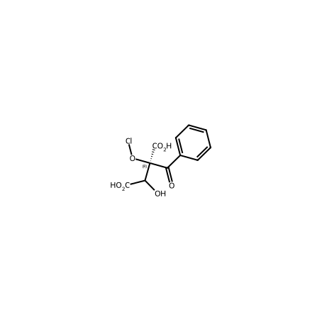 O=C(O)C(O)[C@](OCl)(C(=O)O)C(=O)c1ccccc1